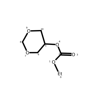 CCOC(=O)OC1COCOC1